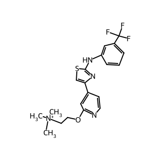 C[N+](C)(C)CCOc1cc(-c2csc(Nc3cccc(C(F)(F)F)c3)n2)ccn1